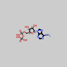 Nc1ncnc2c1ncn2[C@@H]1O[C@@H](C[O][W](=[O])([OH])[O][W](=[O])([OH])[OH])[C@H](O)[C@H]1O